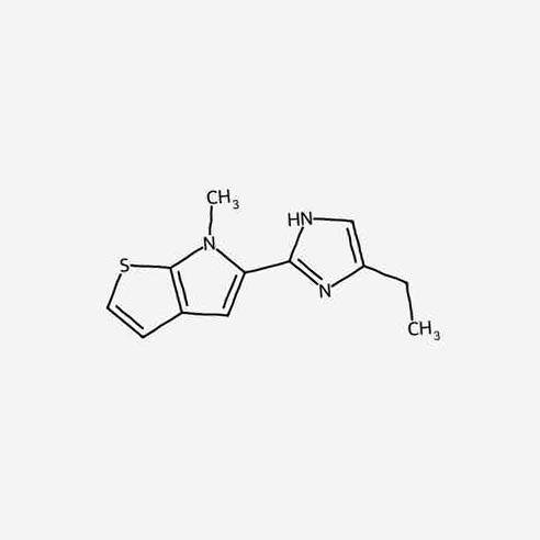 CCc1c[nH]c(-c2cc3ccsc3n2C)n1